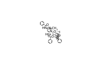 C#C[C@]1(OC(=O)c2ccccc2)[C@H](N(/C=C\C(=O)NC(=O)c2ccccc2)C(C)=O)O[C@@](CI)(N=[N+]=[N-])[C@H]1OC(=O)c1ccccc1